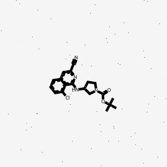 CC(C)(C)OC(=O)N1CCC(Nc2nc(C#N)cc3cccc(Cl)c23)C1